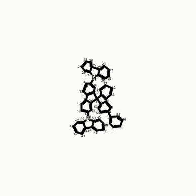 c1ccc(-c2ccc(C3(c4ccccc4)c4cc(-n5c6ccccc6c6ccccc65)ccc4-c4ccc(-n5c6ccccc6c6ccccc65)cc43)cc2)cc1